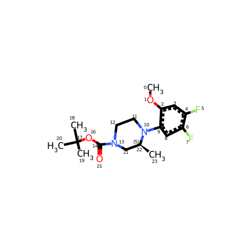 COc1cc(F)c(F)cc1N1CCN(C(=O)OC(C)(C)C)C[C@@H]1C